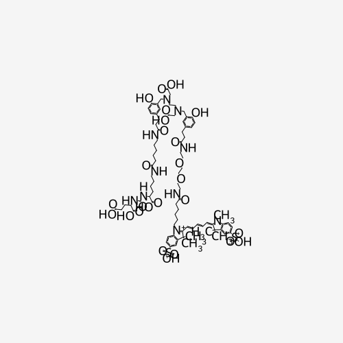 CN1/C(=C/C=C/C=C/C2=[N+](CCCCCC(=O)NCCOCCOCCNC(=O)CCc3ccc(O)c(CN(CCN(CC(=O)O)Cc4cc(CCC(=O)NCCCCCC(=O)NCCCCC(NC(=O)NC(CCC(=O)O)C(=O)O)C(=O)O)ccc4O)CC(=O)O)c3)c3ccc(S(=O)(=O)O)cc3C2(C)C)C(C)(C)c2cc(S(=O)(=O)O)ccc21